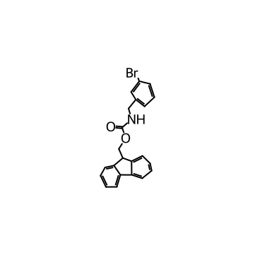 O=C(NCc1cccc(Br)c1)OCC1c2ccccc2-c2ccccc21